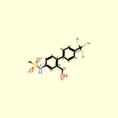 CS(=O)(=O)Nc1ccc(-c2ccc(C(F)(F)F)cc2)c(CO)c1